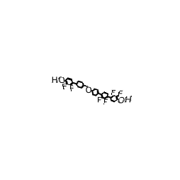 Oc1ccc(-c2ccc(C3=CCC(OCC4CCC(c5ccc(O)c(F)c5F)CC4)CC3)c(F)c2F)c(F)c1F